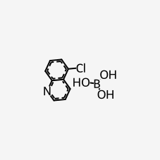 Clc1cccc2ncccc12.OB(O)O